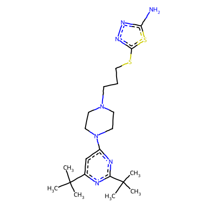 CC(C)(C)c1cc(N2CCN(CCCSc3nnc(N)s3)CC2)nc(C(C)(C)C)n1